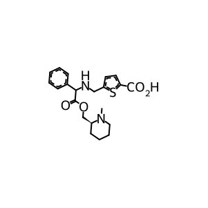 CN1CCCC[C@H]1COC(=O)C(NCc1ccc(C(=O)O)s1)c1ccccc1